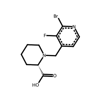 O=C(O)[C@@H]1CCCCN1Cc1ccnc(Br)c1F